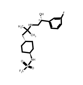 CC(C)(C[C@H]1CC[C@H](NS(=O)(=O)C(F)(F)F)CC1)NC[C@H](O)c1cccc(F)c1